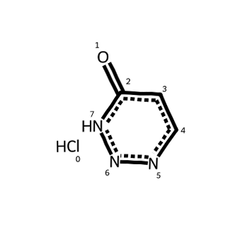 Cl.O=c1ccnn[nH]1